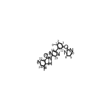 Cc1ccc(Oc2ncccn2)cc1-c1cnc(NC(=O)c2cncc(F)c2C)cn1